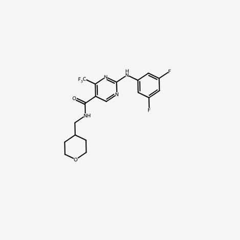 O=C(NCC1CCOCC1)c1cnc(Nc2cc(F)cc(F)c2)nc1C(F)(F)F